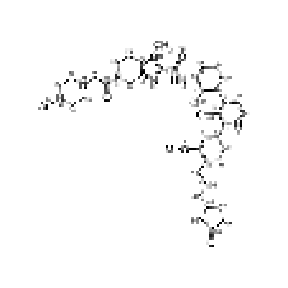 COc1cc(-c2nccc(-c3cccc(NC(=O)c4nc5c(n4C)CCN(C(=O)CN4CCN(C(C)=O)CC4)C5)c3Cl)c2Cl)ccc1CNC[C@@H]1CCC(=O)N1